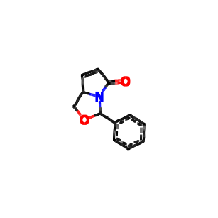 O=C1C=CC2COC(c3ccccc3)N12